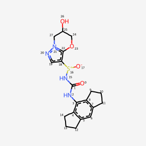 O=C(Nc1c2c(cc3c1CCC3)CCC2)N[S+]([O-])c1cnn2c1OCC(O)C2